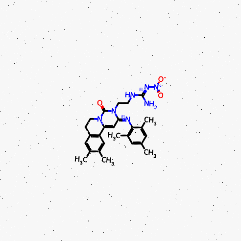 Cc1cc(C)c(/N=c2\cc3n(c(=O)n2CCN/C(N)=N/[N+](=O)[O-])CCc2cc(C)c(C)cc2-3)c(C)c1